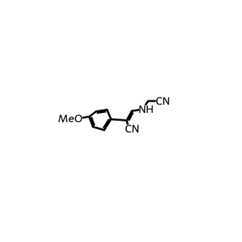 COc1ccc(C(C#N)=CNCC#N)cc1